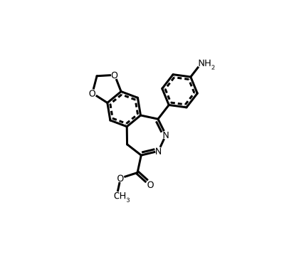 COC(=O)C1=NN=C(c2ccc(N)cc2)c2cc3c(cc2C1)OCO3